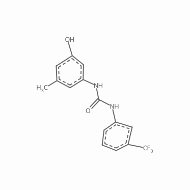 Cc1cc(O)cc(NC(=O)Nc2cccc(C(F)(F)F)c2)c1